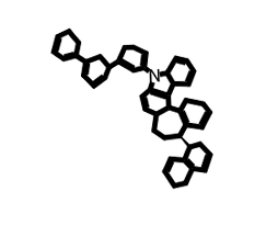 C1=CCCC(C2=CC=CC(C3=CC(N4C5=C(C6C=CC=CC64)C4C6=C(C=CCC6)[C@@H](C6CC=CC7=C6C=CCC7)CCC4C=C5)=CCC3)C2)=C1